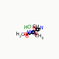 CCOC(=O)C(N)Cc1ccc(-c2ccc(C#N)cc2OC)c(OC)c1.Cl